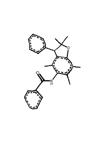 Cc1c(C)c2c(c(C)c1NC(=O)c1ccccc1)C(c1ccccc1)C(C)(C)O2